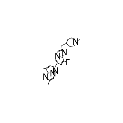 Cc1cn2nc(-c3cc(F)c4nc(CC5CCN(C)CC5)cn4c3)cc(C)c2n1